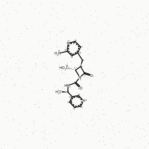 C[C@@H](NC(=O)N1C(=O)[C@H](Cc2ccnc(N)c2)[C@H]1C(=O)O)c1cccnc1